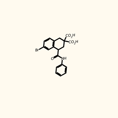 O=C(Nc1ccccc1)C1CC(C(=O)O)(C(=O)O)Cc2ccc(Br)cc21